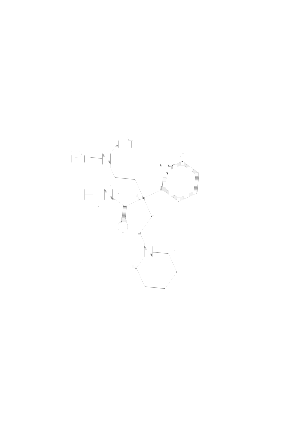 CC(C)N(CCC(CCN1CCCCC1)(C(N)=O)c1ccccn1)C(C)C